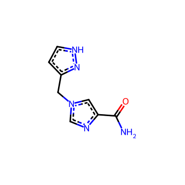 NC(=O)c1cn(Cc2cc[nH]n2)cn1